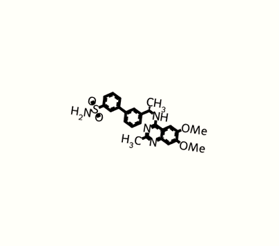 COc1cc2nc(C)nc(N[C@H](C)c3cccc(-c4cccc(S(N)(=O)=O)c4)c3)c2cc1OC